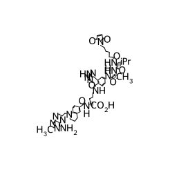 Cc1nc(N)c2nc(CN3CCCc4cc(C(=O)N[C@@H](CCCNC(=O)c5ccc(NC(=O)[C@H](C)NC(=O)[C@@H](NC(=O)CCCCCN6C(=O)C=CC6=O)C(C)C)cc5-c5nn[nH]n5)C(=O)O)ccc43)cnc2n1